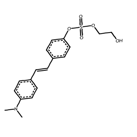 CN(C)c1ccc(/C=C/c2ccc(OS(=O)(=O)OCCO)cc2)cc1